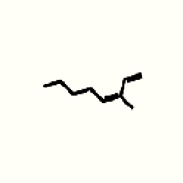 [CH2]CCCC=C(C)C=C